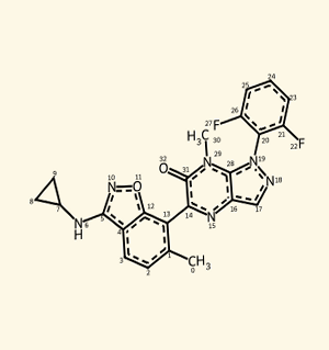 Cc1ccc2c(NC3CC3)noc2c1-c1nc2cnn(-c3c(F)cccc3F)c2n(C)c1=O